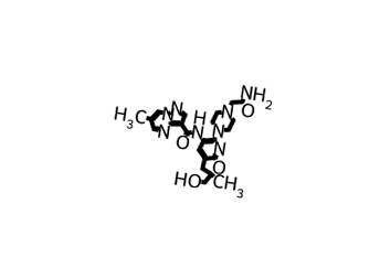 Cc1cnc2c(C(=O)Nc3cc4c(nc3N3CCN(CC(N)=O)CC3)OC(C)(CO)C4)cnn2c1